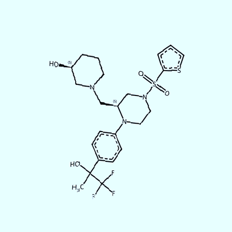 CC(O)(c1ccc(N2CCN(S(=O)(=O)c3cccs3)C[C@@H]2CN2CCC[C@H](O)C2)cc1)C(F)(F)F